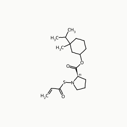 C=CC(=O)SN1CCC[C@@H]1C(=O)OC1CCCC(C)(C(C)C)C1